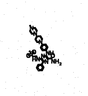 CN1CCN(C2CCN(c3ccc(Nc4nc(NCCS(C)(=O)=O)c(-c5ccccc5)nc4C(N)=O)cc3)CC2)CC1